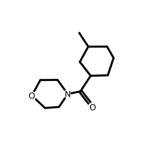 CC1CCCC(C(=O)N2CCOCC2)C1